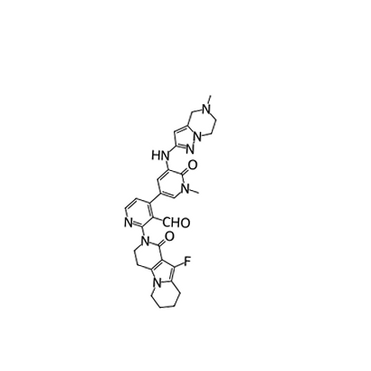 CN1CCn2nc(Nc3cc(-c4ccnc(N5CCc6c(c(F)c7n6CCCC7)C5=O)c4C=O)cn(C)c3=O)cc2C1